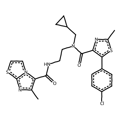 Cc1nc(C(=O)N(CCNC(=O)c2c(C)nc3sccn23)CC2CC2)c(-c2ccc(Cl)cc2)s1